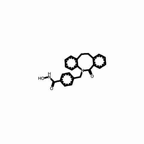 O=C(NO)c1ccc(CN2C(=O)c3ccccc3CCc3ccccc32)cc1